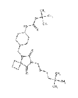 CC(C)(C)OC(=O)NC1CCC(CN2C(=O)N(COCC[Si](C)(C)C)C(=O)C23CCC3)CC1